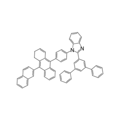 C1=Cc2c(c(-c3ccc4ccccc4c3)c3ccccc3c2-c2ccc(-n3c(-c4cc(-c5ccccc5)cc(-c5ccccc5)c4)nc4ccccc43)cc2)CC1